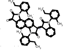 CCc1cccc(C)c1N1C(=O)/C(=C2/C(=O)N(c3c(C)cccc3CC)c3c2ccc2c4c(ccc32)C(=O)C(=O)N4c2c(C)cccc2CC)c2ccccc21